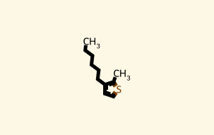 CCCCCCc1ccsc1C